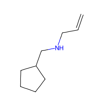 C=CCNCC1CCCC1